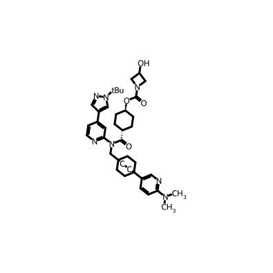 CN(C)c1ccc(C23CCC(CN(c4cc(-c5cnn(C(C)(C)C)c5)ccn4)C(=O)[C@H]4CC[C@H](OC(=O)N5CC(O)C5)CC4)(CC2)CC3)cn1